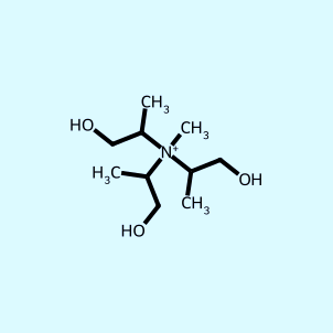 CC(CO)[N+](C)(C(C)CO)C(C)CO